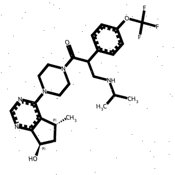 CC(C)NCC(C(=O)N1CCN(c2ncnc3c2[C@H](C)C[C@H]3O)CC1)c1ccc(OC(F)(F)F)cc1